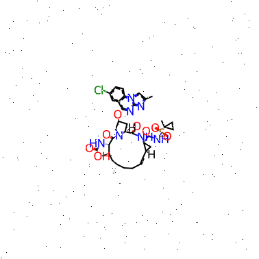 Cc1cn2c(n1)nc(O[C@@H]1C[C@H]3C(=O)N[C@]4(C(=O)NS(=O)(=O)C5(C)CC5)C[C@H]4/C=C\CC[C@H](C)C[C@@H](C)[C@H](NC(=O)O)C(=O)N3C1)c1cc(Cl)ccc12